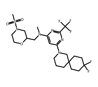 CN(CC1CN(S(C)(=O)=O)CCO1)c1cc(N2CCCC3(CCC(F)(F)CC3)C2)nc(C(F)(F)F)n1